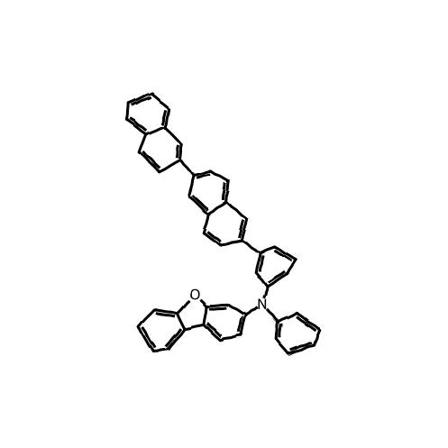 c1ccc(N(c2cccc(-c3ccc4cc(-c5ccc6ccccc6c5)ccc4c3)c2)c2ccc3c(c2)oc2ccccc23)cc1